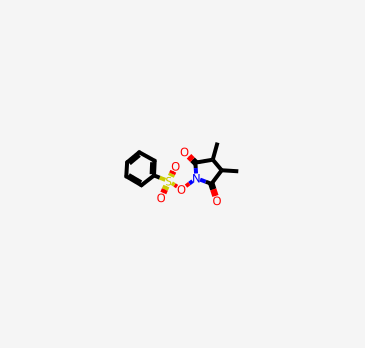 CC1C(=O)N(OS(=O)(=O)c2ccccc2)C(=O)C1C